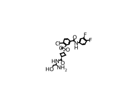 N[C@@H](CO)NC(=O)[C@H]1C[C@H](S(=O)(=O)c2cc(C(=O)Nc3ccc(F)c(F)c3)ccc2Cl)C1